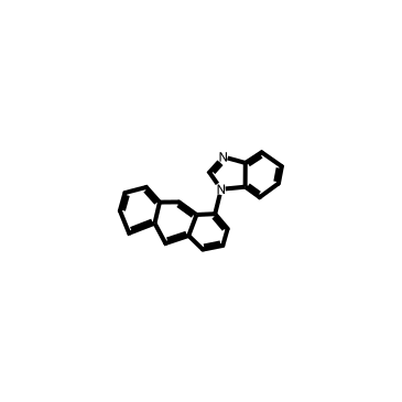 c1ccc2cc3c(-n4cnc5ccccc54)cccc3cc2c1